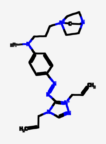 C=CCn1cn[n+](CC=C)c1N=Nc1ccc(N(CCC)CCC[N+]23CCN(CC2)CC3)cc1